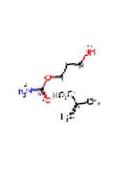 C=C(C)C(=O)O.NC(=O)OCCCO